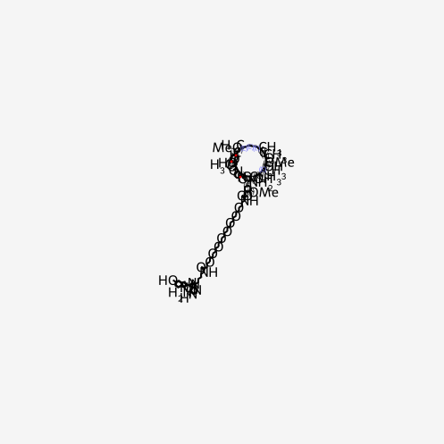 CO[C@H]1C[C@@H]2CC[C@@H](C)[C@@](O)(O2)C(=O)C(=O)N2CCCC[C@H]2C(=O)O[C@H]([C@H](N)C[C@@H]2CC[C@@H](OC(=O)NCCOCCOCCOCCOCCOCCOCCOCCOCCC(=O)NCCCCn3nc(-c4cc5cc(O)ccc5[nH]4)c4c(N)ncnc43)[C@H](OC)C2)C[C@@H](O)[C@H](C)/C=C(\C)[C@@H](O)[C@@H](OC)C(=O)[C@H](C)C[C@H](C)/C=C/C=C/C=C/1C